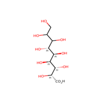 O=C(O)[C@H](O)[C@@H](O)[C@@H](O)[C@H](O)[C@H](O)C(O)C(O)CO